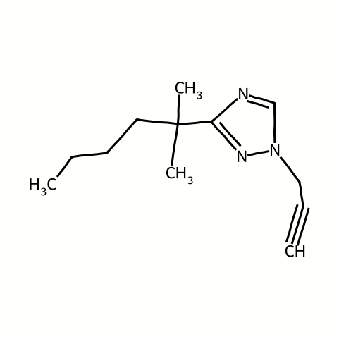 C#CCn1cnc(C(C)(C)CCCC)n1